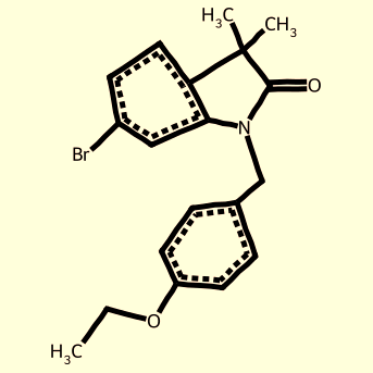 CCOc1ccc(CN2C(=O)C(C)(C)c3ccc(Br)cc32)cc1